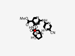 COC(=O)c1cnc(Nc2cnc(C#N)cn2)cc1N[C@@H]1C[C@H]2CC[C@@H](C1)N2C(=O)OC(C)(C)C